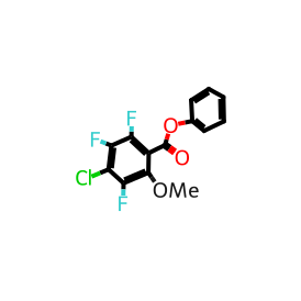 COc1c(F)c(Cl)c(F)c(F)c1C(=O)Oc1ccccc1